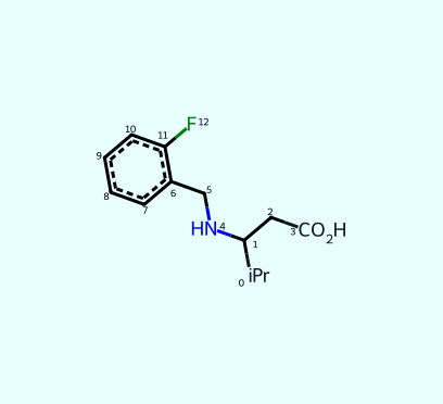 CC(C)C(CC(=O)O)NCc1ccccc1F